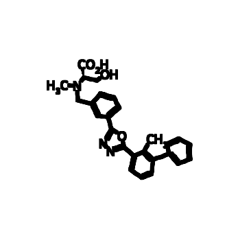 Cc1c(-c2ccccc2)cccc1-c1nnc(-c2cccc(CN(C)[C@@H](CO)C(=O)O)c2)o1